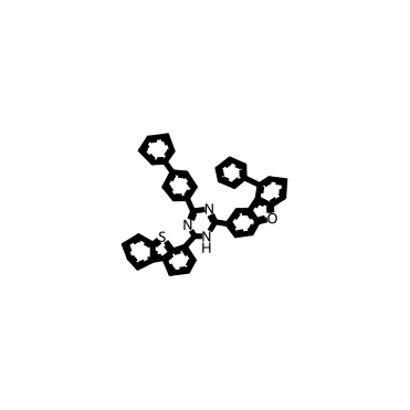 c1ccc(-c2ccc(C3=NC(c4cccc5c4sc4ccccc45)NC(c4ccc5oc6cccc(-c7ccccc7)c6c5c4)=N3)cc2)cc1